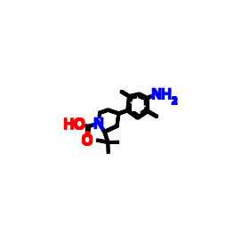 Cc1cc(C2CCN(C(=O)O)C(C(C)(C)C)C2)c(C)cc1N